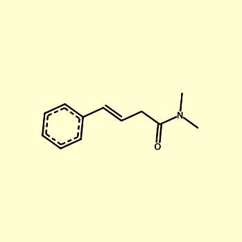 CN(C)C(=O)CC=Cc1ccccc1